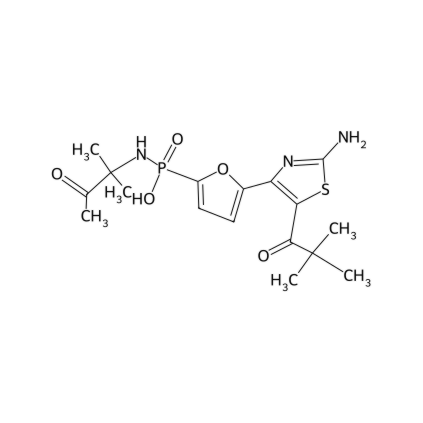 CC(=O)C(C)(C)NP(=O)(O)c1ccc(-c2nc(N)sc2C(=O)C(C)(C)C)o1